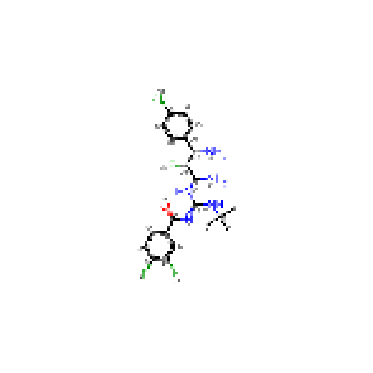 CC(C)(C)N/C(=N/C(=O)c1ccc(F)c(F)c1)NC(N)C(F)C(N)c1ccc(Cl)cc1